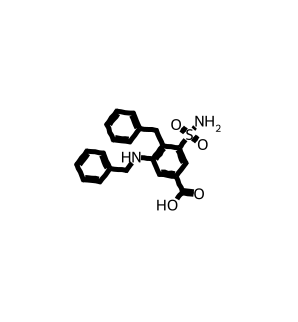 NS(=O)(=O)c1cc(C(=O)O)cc(NCc2ccccc2)c1Cc1ccccc1